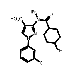 CC1CCC(C(=O)N(c2nn(-c3cccc(Cl)c3)cc2C(=O)O)C(C)C)CC1